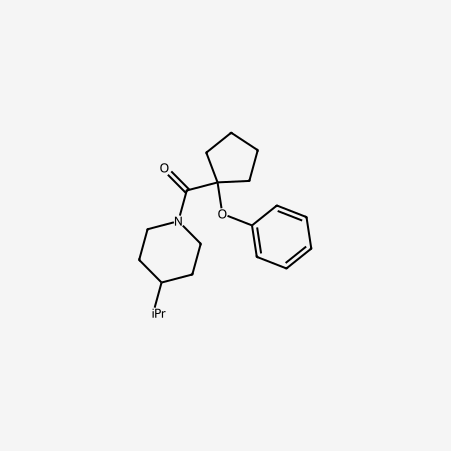 CC(C)C1CCN(C(=O)C2(Oc3ccccc3)CCCC2)CC1